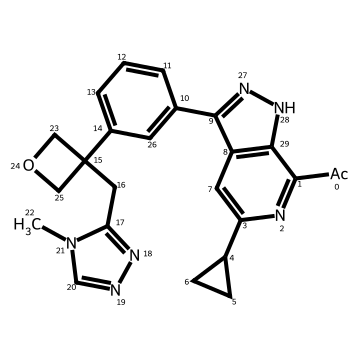 CC(=O)c1nc(C2CC2)cc2c(-c3cccc(C4(Cc5nncn5C)COC4)c3)n[nH]c12